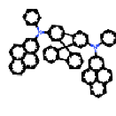 c1ccc(N(c2ccc3c(c2)C2(c4ccccc4-c4ccccc42)c2cc(N(c4ccccc4)c4cc5ccc6cccc7ccc(c4)c5c67)ccc2-3)c2cc3ccc4cccc5ccc(c2)c3c45)cc1